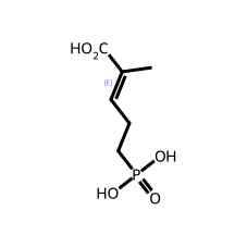 C/C(=C\CCP(=O)(O)O)C(=O)O